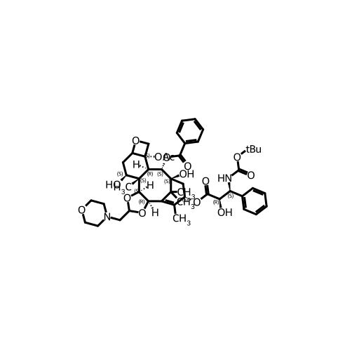 CC(=O)O[C@@]12COC1C[C@H](O)[C@@]1(C)[C@@H]3OC(CN4CCOCC4)O[C@@H]3C3=C(C)[C@@H](OC(=O)[C@H](O)[C@@H](NC(=O)OC(C)(C)C)c4ccccc4)C[C@@](O)([C@@H](OC(=O)c4ccccc4)[C@@H]12)C3(C)C